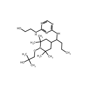 CCCC(Nc1ncnc(NCCO)n1)C1CC(C)(C)N(OCC(C)(C)O)C(C)(C)C1